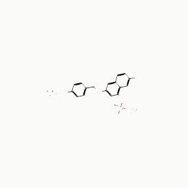 COc1ccc(CSc2cc(O[Si](C)(C)C(C)(C)C)c3cc(Cl)ccc3c2)cc1